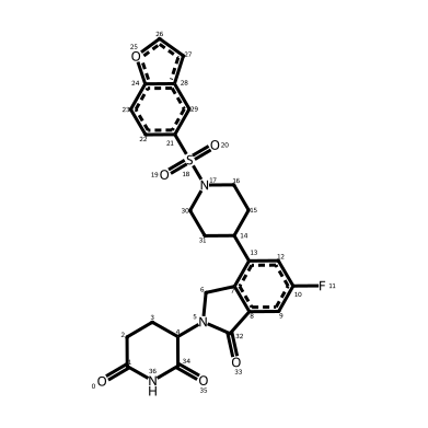 O=C1CCC(N2Cc3c(cc(F)cc3C3CCN(S(=O)(=O)c4ccc5occc5c4)CC3)C2=O)C(=O)N1